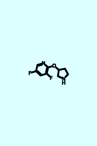 Fc1cnc(OC2CCNC2)c(F)c1